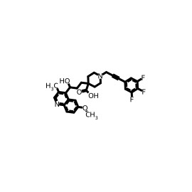 COc1ccc2ncc(C)c(C(O)CCC3(C(=O)O)CCN(CC#Cc4cc(F)c(F)c(F)c4)CC3)c2c1